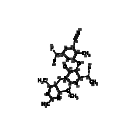 COc1nc(C)nc(C)c1Cn1cnc(C(C)F)c(Oc2cc(C(F)F)cc(C#N)c2C)c1=O